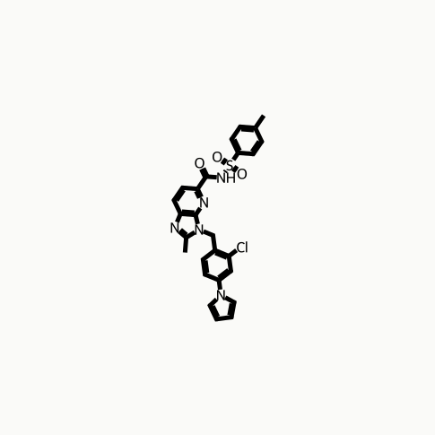 Cc1ccc(S(=O)(=O)NC(=O)c2ccc3nc(C)n(Cc4ccc(-n5cccc5)cc4Cl)c3n2)cc1